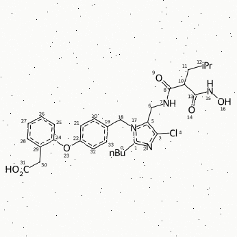 CCCCc1nc(Cl)c(CNC(=O)C(CC(C)C)C(=O)NO)n1Cc1ccc(Oc2ccccc2CC(=O)O)cc1